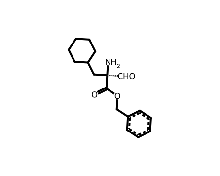 N[C@](C=O)(CC1CCCCC1)C(=O)OCc1ccccc1